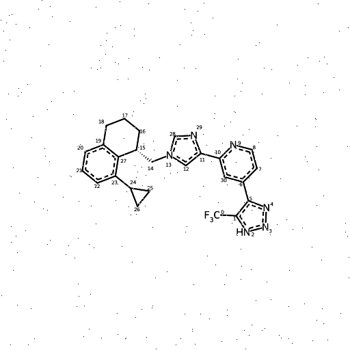 FC(F)(F)c1[nH]nnc1-c1ccnc(-c2cn(C[C@H]3CCCc4cccc(C5CC5)c43)cn2)c1